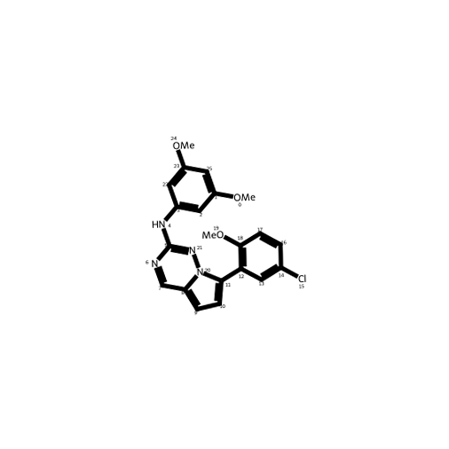 COc1cc(Nc2ncc3ccc(-c4cc(Cl)ccc4OC)n3n2)cc(OC)c1